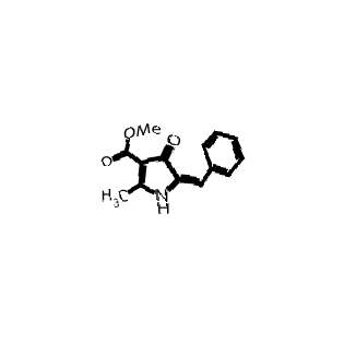 COC(=O)C1=C(C)N/C(=C/c2ccccc2)C1=O